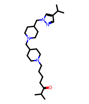 CC(C)C(=O)CCCCN1CCC(CN2CCC(Cn3cc(C(C)C)cn3)CC2)CC1